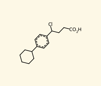 O=C(O)CCC(Cl)c1ccc(C2CCCCC2)cc1